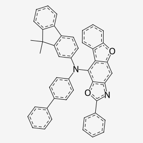 CC1(C)c2ccccc2-c2ccc(N(c3ccc(-c4ccccc4)cc3)c3c4oc(-c5ccccc5)nc4cc4oc5ccccc5c34)cc21